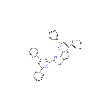 c1ccc(-c2cc(-c3ccccc3)nc(-c3ccc4ccc5c(-c6ccccc6)cc(-c6ccccc6)nc5c4n3)c2)cc1